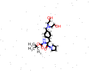 CC(C)(C)OC(=O)NC(Cc1ccc(CN(CCO)CCO)cc1)C(=O)N1CCCC1